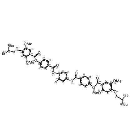 CCCCC(CC)COc1cc(OC)c(C(=O)Oc2ccc(C(=O)Oc3ccc(OC(=O)c4ccc(OC(=O)c5cc(OC)c(OCC(CC)CCCC)cc5OC)cc4)c(C)c3)cc2)cc1OC